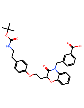 CC(C)(C)OC(=O)NCCc1ccc(OCCC2Oc3ccccc3N(Cc3cccc(C(=O)O)c3)C2=O)cc1